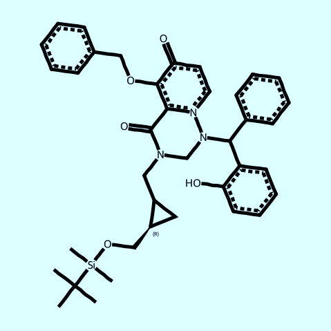 CC(C)(C)[Si](C)(C)OC[C@@H]1CC1CN1CN(C(c2ccccc2)c2ccccc2O)n2ccc(=O)c(OCc3ccccc3)c2C1=O